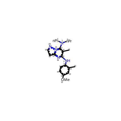 CCCN(CCC)c1c(C)c(Nc2ccc(OC)cc2C)nc2ccnn12